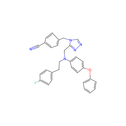 N#Cc1ccc(Cn2cnnc2CN(CCc2ccc(F)cc2)c2ccc(Oc3ccccc3)cc2)cc1